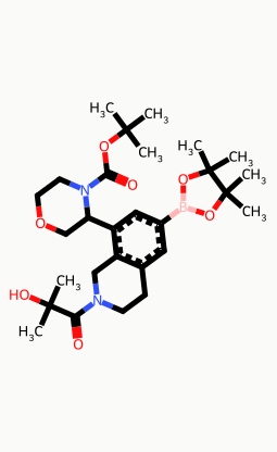 CC(C)(C)OC(=O)N1CCOCC1c1cc(B2OC(C)(C)C(C)(C)O2)cc2c1CN(C(=O)C(C)(C)O)CC2